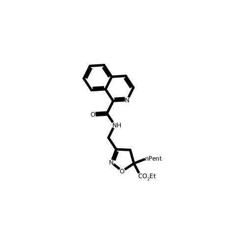 CCCCCC1(C(=O)OCC)CC(CNC(=O)c2nccc3ccccc23)=NO1